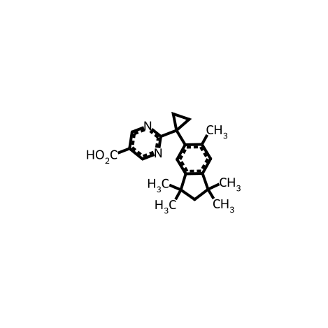 Cc1cc2c(cc1C1(c3ncc(C(=O)O)cn3)CC1)C(C)(C)CC2(C)C